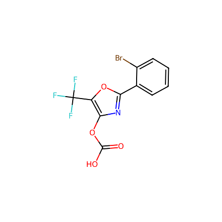 O=C(O)Oc1nc(-c2ccccc2Br)oc1C(F)(F)F